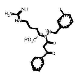 N=C(N)NCCC[C@@H](C(=O)O)N(NCc1cccc(I)c1)C(=O)CC(=O)c1ccccc1